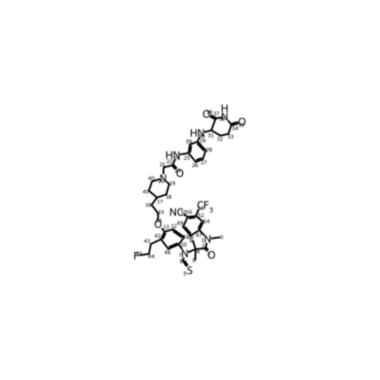 CN(C(=O)C(C)(C)N(C=S)c1ccc(OCCC2CCN(CC(=O)Nc3cccc(NC4CCC(=O)NC4=O)c3)CC2)c(CCF)c1)c1ccc(C#N)c(C(F)(F)F)c1